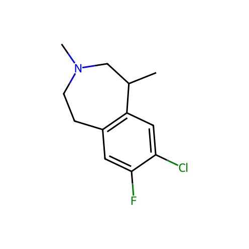 CC1CN(C)CCc2cc(F)c(Cl)cc21